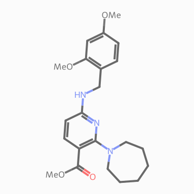 COC(=O)c1ccc(NCc2ccc(OC)cc2OC)nc1N1CCCCCC1